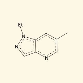 CCn1ncc2ncc(C)cc21